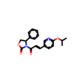 CC(C)Oc1ccc(C=CC(=O)N2C(=O)OCC2c2ccccc2)cn1